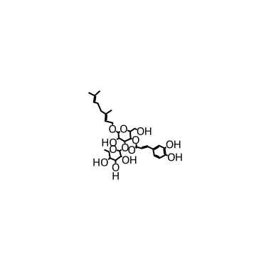 CC(C)=CCC/C(C)=C/COC1OC(CO)C(OC(=O)/C=C/c2ccc(O)c(O)c2)C(OC2OC(C)C(O)C(O)C2O)C1O